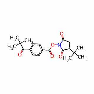 CC(C)(C)C(=O)c1ccc(C(=O)ON2C(=O)CC(C(C)(C)C)C2=O)cc1